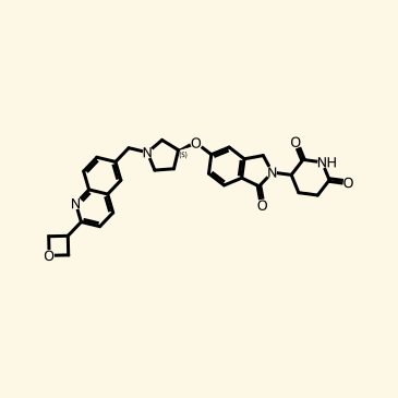 O=C1CCC(N2Cc3cc(O[C@H]4CCN(Cc5ccc6nc(C7COC7)ccc6c5)C4)ccc3C2=O)C(=O)N1